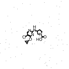 O=C(O)N1CCC(Nc2ncc(Cl)c(OC3CC3)n2)C1